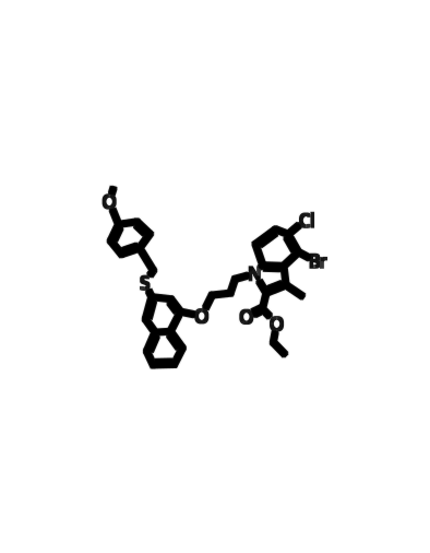 CCOC(=O)c1c(C)c2c(Br)c(Cl)ccc2n1CCCOc1cc(SCc2ccc(OC)cc2)cc2ccccc12